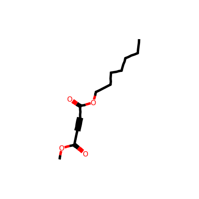 CCCCCCCOC(=O)C#CC(=O)OC